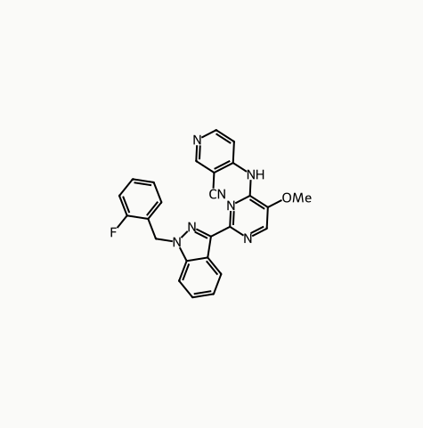 COc1cnc(-c2nn(Cc3ccccc3F)c3ccccc23)nc1Nc1ccncc1C#N